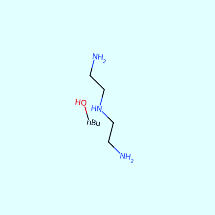 CCCCO.NCCNCCN